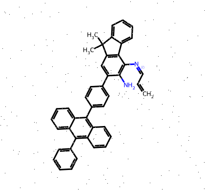 C=C/C=N\c1c(N)c(-c2ccc(-c3c4ccccc4c(-c4ccccc4)c4ccccc34)cc2)cc2c1-c1ccccc1C2(C)C